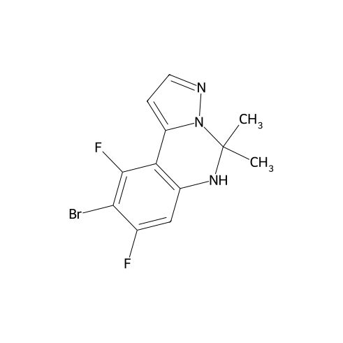 CC1(C)Nc2cc(F)c(Br)c(F)c2-c2ccnn21